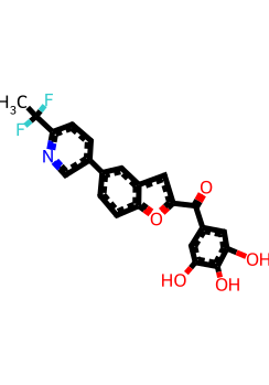 CC(F)(F)c1ccc(-c2ccc3oc(C(=O)c4cc(O)c(O)c(O)c4)cc3c2)cn1